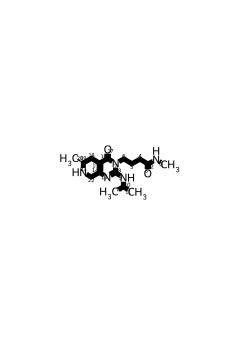 CNC(=O)CCCn1c(NC(C)C)nc2c(c1=O)C[C@@H](C)NC2